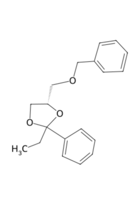 CCC1(c2ccccc2)OC[C@H](COCc2ccccc2)O1